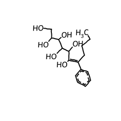 CCCCC(=C(O)C(O)C(O)C(O)C(O)CO)c1ccccc1